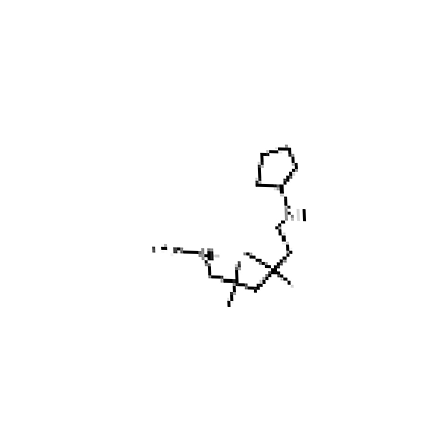 CCCCNCC(C)(C)CC(C)(C)CCNC1CCCC1